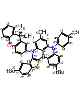 Cc1cc2c3c(c1)N(c1ccc4c(c1)C(C)(C)c1ccccc1O4)c1c(sc4ccc(C(C)(C)C)cc14)B3c1cc(C(C)(C)C)ccc1N2c1ccc(C(C)(C)C)cc1